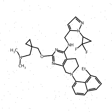 CCc1cccc2cccc(N3CCc4c(nc(OCC5(CN(C)C)CC5)nc4NCc4ccnn4C4CC4(F)F)C3)c12